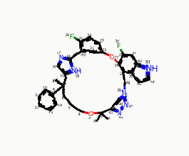 CC1(C)OCCCC(C)(c2ccccc2)c2cnc([nH]2)-c2cc(ccc2F)Oc2c(F)cc3[nH]ccc3c2Cn2cc1nn2